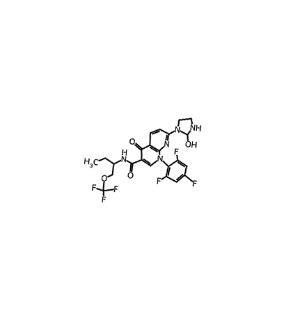 CCC(COC(F)(F)F)NC(=O)c1cn(-c2c(F)cc(F)cc2F)c2nc(N3CCNC3O)ccc2c1=O